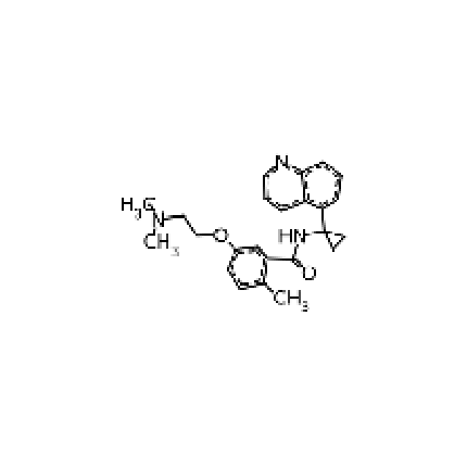 Cc1ccc(OCCN(C)C)cc1C(=O)NC1(c2cccc3ncccc23)CC1